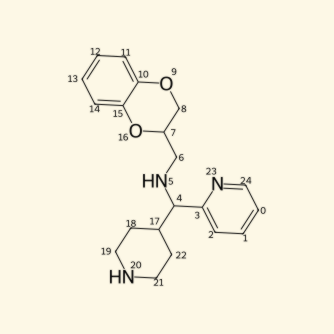 c1ccc(C(NCC2COc3ccccc3O2)C2CCNCC2)nc1